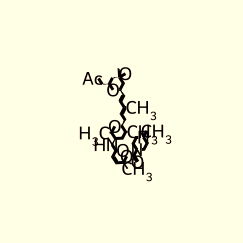 CC(=O)C[C@@H]1C[C@@]2(CO2)C[C@@H](/C=C/C(C)=C/C[C@@H]2O[C@H](C)[C@H](NC(=O)/C=C\[C@H](C)OC(=O)N3CCN(C)CC3)C[C@@H]2C)O1